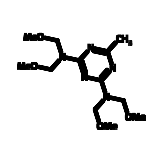 COCN(COC)c1nc(C)nc(N(COC)COC)n1